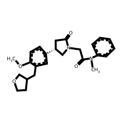 COc1ccc([C@@H]2CC(=O)N(CC(=O)N(C)c3ccccc3)C2)cc1CC1CCOC1